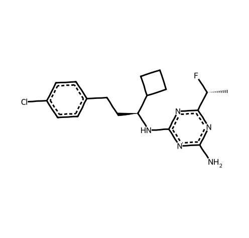 C[C@@H](F)c1nc(N)nc(N[C@@H](CCc2ccc(Cl)cc2)C2CCC2)n1